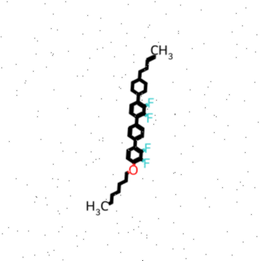 C/C=C/CCC1CCC(c2ccc(-c3ccc(-c4ccc(OCCCCCCC)c(F)c4F)cc3)c(F)c2F)CC1